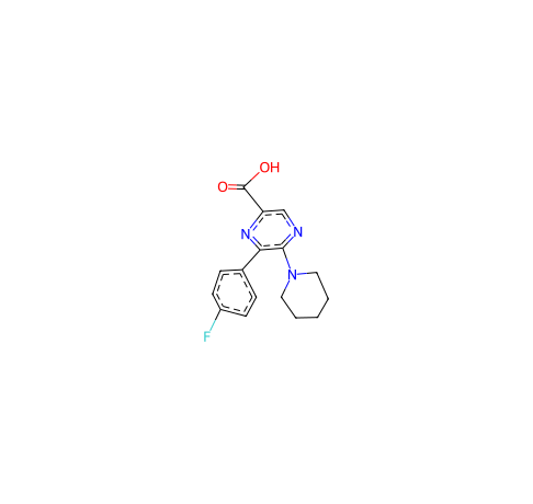 O=C(O)c1cnc(N2CCCCC2)c(-c2ccc(F)cc2)n1